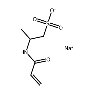 C=CC(=O)NC(C)CS(=O)(=O)[O-].[Na+]